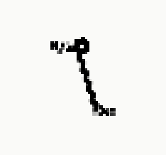 C=Cc1ccccc1CCCCCCCCCCCCCCCCCCCC